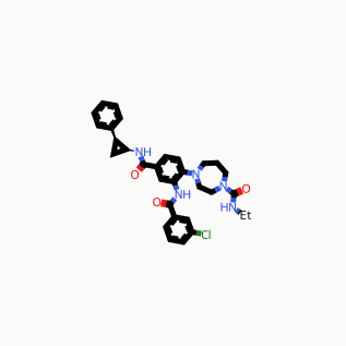 CCNC(=O)N1CCCN(c2ccc(C(=O)N[C@@H]3C[C@H]3c3ccccc3)cc2NC(=O)c2cccc(Cl)c2)CC1